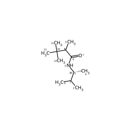 CC(C)[C@@H](C)NC(=O)C(C)C(C)(C)C